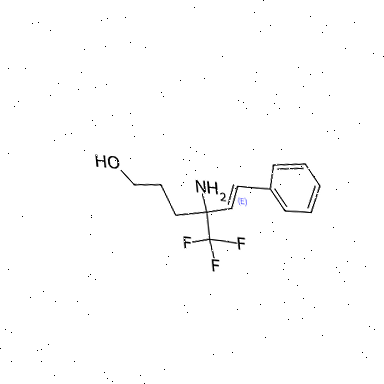 NC(/C=C/c1ccccc1)(CCCO)C(F)(F)F